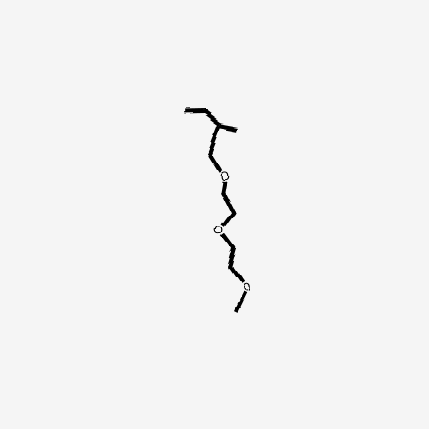 CCC(C)COCCOCCOC